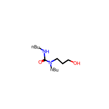 CCCCNC(=O)N(CCCC)CCCO